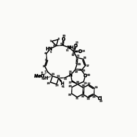 CO[C@@H]1/C=C/CNC2(CC2)C(=O)NS(=O)(=O)c2ccc3c(c2)N(C[C@@H]2CC[C@H]21)C[C@@]1(CCCc2cc(Cl)ccc21)CO3